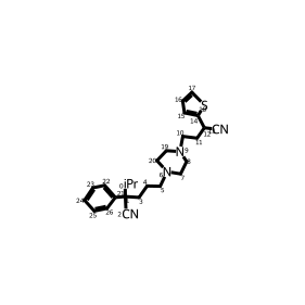 CC(C)C(C#N)(CCCN1CCN(CCC(C#N)c2cccs2)CC1)c1ccccc1